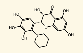 O=C1c2c(O)cc(O)cc2O[C@H](c2cc(O)c(O)c(O)c2N2CCCCC2)[C@H]1O